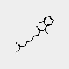 Cc1ccccc1N(C)C(=O)CCCCCC(=O)O